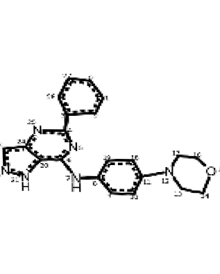 c1ccc(-c2nc(Nc3ccc(N4CCOCC4)cc3)c3[nH]ncc3n2)cc1